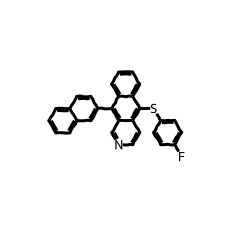 Fc1ccc(Sc2c3ccccc3c(-c3ccc4ccccc4c3)c3cnccc23)cc1